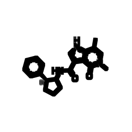 Cc1cn(C)c(=O)c2c(C(=O)NC3CCC[C@H]3c3ccccc3)c[nH]c12